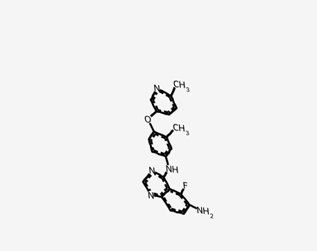 Cc1ccc(Oc2ccc(Nc3ncnc4ccc(N)c(F)c34)cc2C)cn1